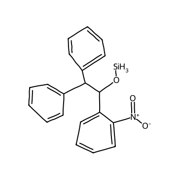 O=[N+]([O-])c1ccccc1C(O[SiH3])C(c1ccccc1)c1ccccc1